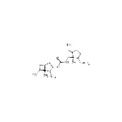 C=CC1CCC(C=C)C1(O)CNC(=O)OC1CC2CC3(C)C2(C)C13C